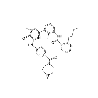 CCCCc1ncccc1C(=O)Nc1cccc(-c2cn(C)c(=O)c(Nc3ccc(C(=O)N4CCN(C)CC4)cc3)n2)c1C